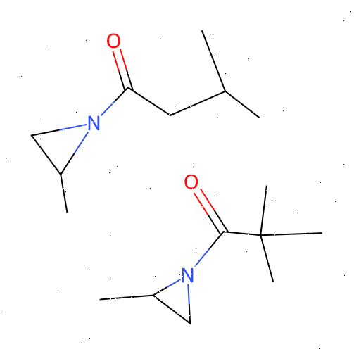 CC(C)CC(=O)N1CC1C.CC1CN1C(=O)C(C)(C)C